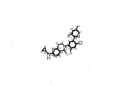 Cc1cnc(-c2cc(N3CCc4nc(NC5CC5)ncc4C3C)c(C)cc2Cl)c(C)c1